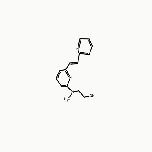 CN(CCO)c1cccc(/C=C/c2ccccn2)n1